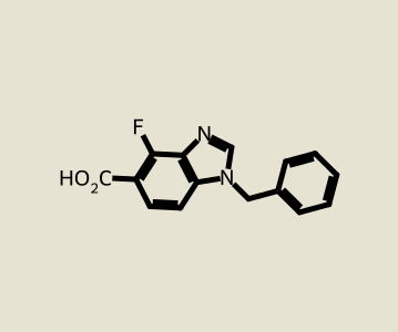 O=C(O)c1ccc2c(ncn2Cc2ccccc2)c1F